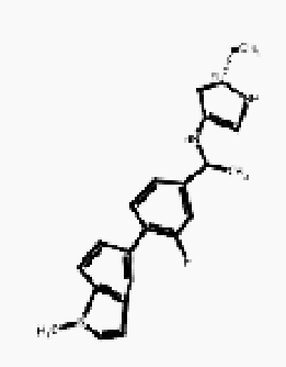 CC[C@H]1CC(NC(C)c2ccc(-c3ccc4c(ccn4C)c3)c(F)c2)=CN1